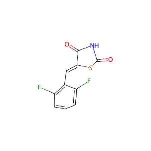 O=C1NC(=O)C(=Cc2c(F)cccc2F)S1